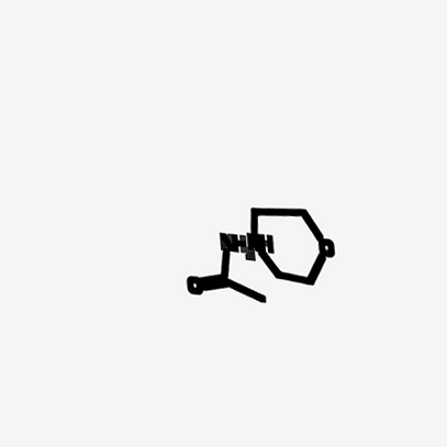 C1COCCN1.CC(N)=O